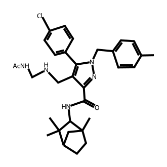 CC(=O)NCNCc1c(C(=O)NC2C3(C)CCC(C3)C2(C)C)nn(Cc2ccc(C)cc2)c1-c1ccc(Cl)cc1